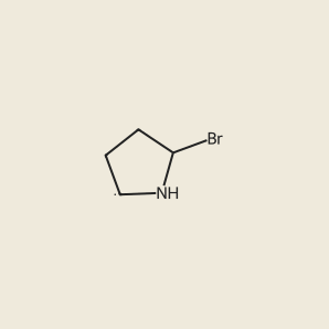 BrC1CC[CH]N1